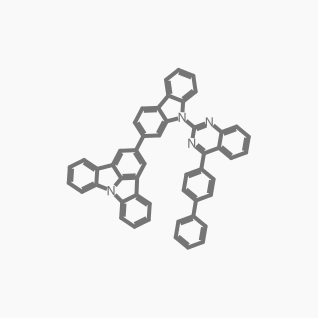 c1ccc(-c2ccc(-c3nc(-n4c5ccccc5c5ccc(-c6cc7c8ccccc8n8c9ccccc9c(c6)c78)cc54)nc4ccccc34)cc2)cc1